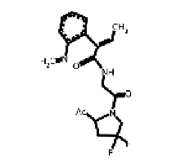 C=Nc1ccccc1/C(=C\C)C(=O)NCC(=O)N1CC(F)(F)CC1C(C)=O